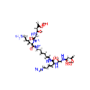 C=C(CC(=O)NCC(=O)N[C@@H](CCCCN)C(=O)NCCCCCCNC(=O)[C@H](CCCCN)NC(=O)CNC(=O)CC(=C)OO)OO